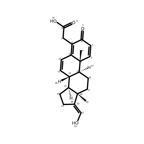 C[C@]12C=CC(=O)C(CC(=O)O)=C1C=C[C@@H]1[C@@H]2CC[C@]2(C)C(=CO)CC[C@@H]12